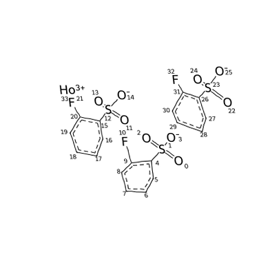 O=S(=O)([O-])c1ccccc1F.O=S(=O)([O-])c1ccccc1F.O=S(=O)([O-])c1ccccc1F.[Ho+3]